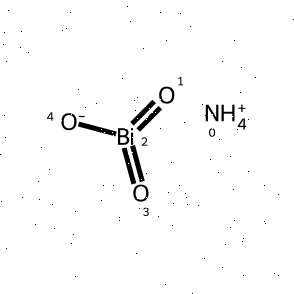 [NH4+].[O]=[Bi](=[O])[O-]